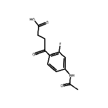 CC(=O)Nc1ccc(C(=O)CCC(=O)O)c(F)c1